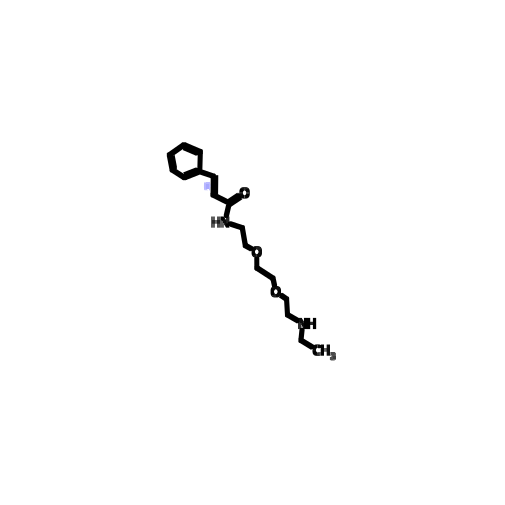 CCNCCOCCOCCNC(=O)/C=C/c1ccccc1